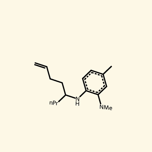 C=CCCC(CCC)Nc1ccc(C)cc1NC